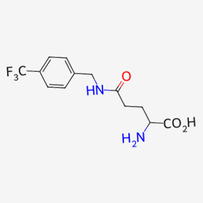 NC(CCC(=O)NCc1ccc(C(F)(F)F)cc1)C(=O)O